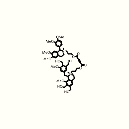 COc1ccc(C2c3cc(OC)c(OC)cc3CC[N+]2(C)CCCOC(=O)C#CC(=O)OCCC[N+]2(C)CCc3cc(CO)c(CO)c(OC)c3C2Cc2cc(CO)c(CO)c(OC)c2)cc1OC